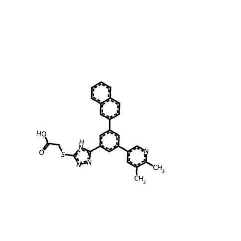 Cc1cc(-c2cc(-c3ccc4ccccc4c3)cc(-c3nnc(SCC(=O)O)[nH]3)c2)cnc1C